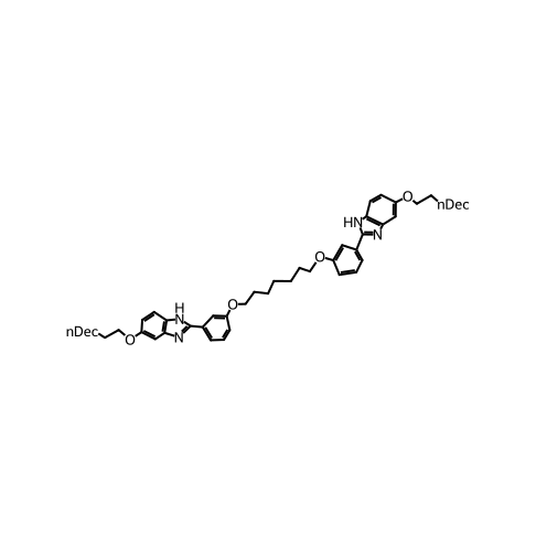 CCCCCCCCCCCCOc1ccc2[nH]c(-c3cccc(OCCCCCCCOc4cccc(-c5nc6cc(OCCCCCCCCCCCC)ccc6[nH]5)c4)c3)nc2c1